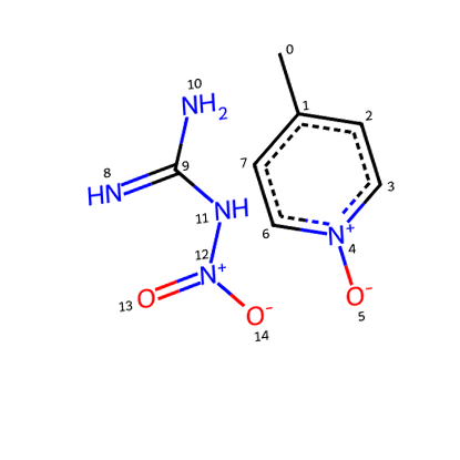 Cc1cc[n+]([O-])cc1.N=C(N)N[N+](=O)[O-]